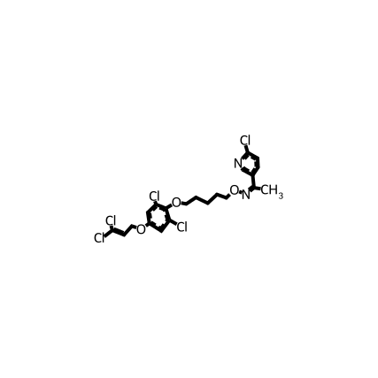 CC(=NOCCCCCOc1c(Cl)cc(OCC=C(Cl)Cl)cc1Cl)c1ccc(Cl)nc1